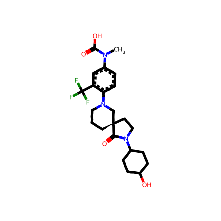 CN(C(=O)O)c1ccc(N2CCC[C@]3(CCN(C4CCC(O)CC4)C3=O)C2)c(C(F)(F)F)c1